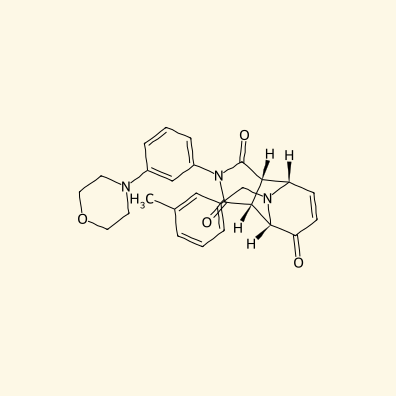 Cc1cccc(CN2[C@@H]3C(=O)C=C[C@H]2[C@H]2C(=O)N(c4cccc(N5CCOCC5)c4)C(=O)[C@H]23)c1